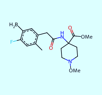 Bc1cc(CC(=O)NC2(C(=O)OC)CCN(OC)CC2)c(C)cc1F